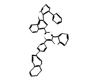 C1=Cc2ccc(-c3ccc(-c4nc(-c5cc6c(oc7cccc(-c8ccccc8)c76)c6ccccc56)nc5c4sc4ccccc45)cc3)cc2CC1